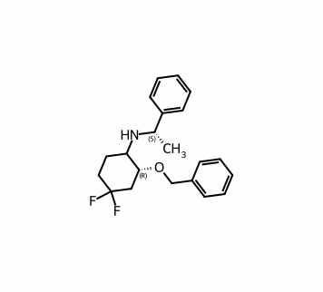 C[C@H](NC1CCC(F)(F)C[C@H]1OCc1ccccc1)c1ccccc1